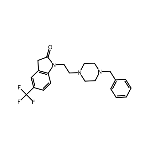 O=C1Cc2cc(C(F)(F)F)ccc2N1CCN1CCN(Cc2ccccc2)CC1